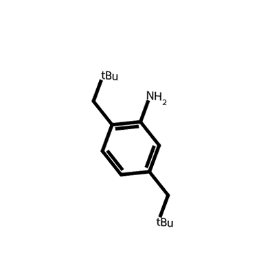 CC(C)(C)Cc1ccc(CC(C)(C)C)c(N)c1